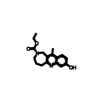 CCOC(=O)N1CCCc2nc3cc(O)ccc3c(C)c2C1